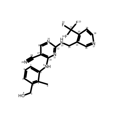 Cc1c(CO)cccc1Nc1nc(NCc2cnccc2C(F)(F)F)ncc1C#N